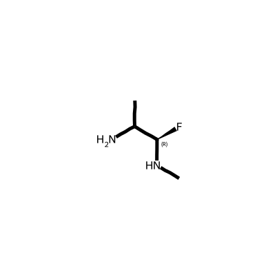 CN[C@H](F)C(C)N